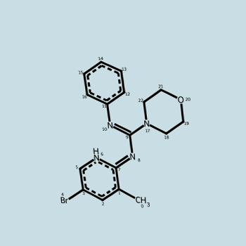 Cc1cc(Br)c[nH]c1=NC(=Nc1ccccc1)N1CCOCC1